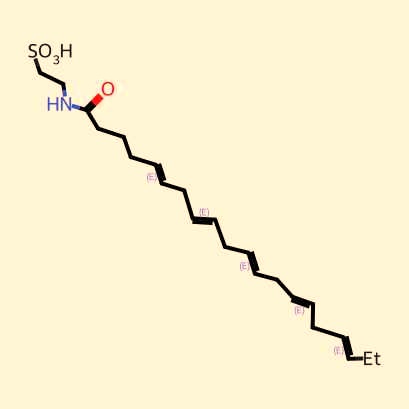 CC/C=C/C/C=C/C/C=C/C/C=C/C/C=C/CCCC(=O)NCCS(=O)(=O)O